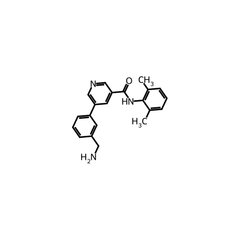 Cc1cccc(C)c1NC(=O)c1cncc(-c2cccc(CN)c2)c1